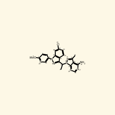 COc1ccc(-n2nc(C(C)n3nc(C)c4c(N)ncnc43)c3ccc(Cl)cc32)cn1